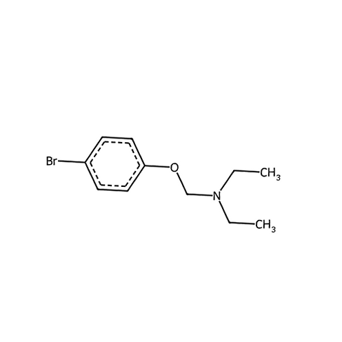 CCN(CC)COc1ccc(Br)cc1